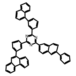 c1ccc(-c2ccc3cc(-c4nc(-c5cccc(-c6cccc7ccccc67)c5)nc(-c5cccc(-c6cc7ccccc7c7ccccc67)c5)n4)ccc3c2)cc1